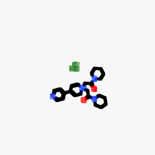 Cl.O=C(C[N+]1(CC(=O)N2CCCCC2)C=CC(c2ccncc2)=CC1)N1CCCCC1.[Cl-]